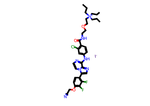 CCC[N+](CCC)(CCC)CCOCCNC(=O)c1ccc(Nc2nccn3c(-c4ccc(OCC#N)c(F)c4F)cnc23)cc1Cl.[I-]